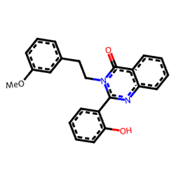 COc1cccc(CCn2c(-c3ccccc3O)nc3ccccc3c2=O)c1